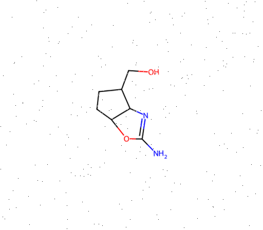 NC1=NC2C(CO)CCC2O1